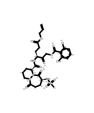 C=CCOC(=O)CC[C@H](NC(=O)[C@@H]1CCCN2C(=O)CC[C@H](NS(C)(=O)=O)C(=O)N12)C(=O)COC(=O)c1c(Cl)cccc1Cl